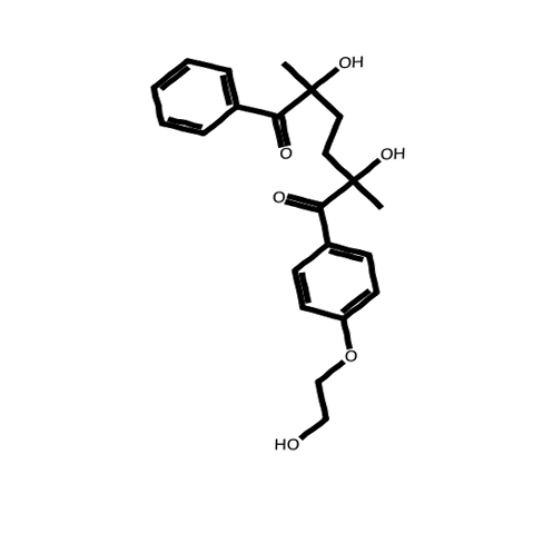 CC(O)(CCC(C)(O)C(=O)c1ccc(OCCO)cc1)C(=O)c1ccccc1